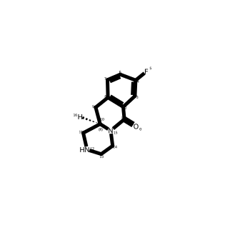 O=C1c2cc(F)ccc2C[C@@H]2CNCCN12